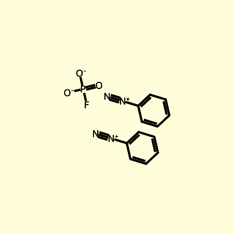 N#[N+]c1ccccc1.N#[N+]c1ccccc1.O=P([O-])([O-])F